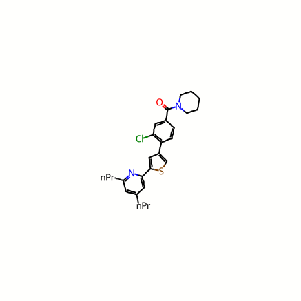 CCCc1cc(CCC)nc(-c2cc(-c3ccc(C(=O)N4CCCCC4)cc3Cl)cs2)c1